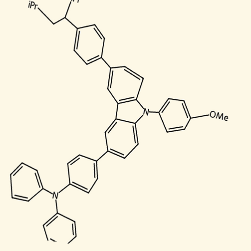 COc1ccc(-n2c3ccc(-c4ccc(C(CC(C)C)C(C)C)cc4)cc3c3cc(-c4ccc(N(c5ccccc5)c5ccccc5)cc4)ccc32)cc1